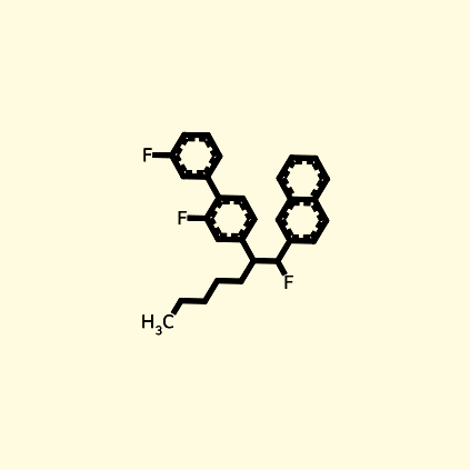 CCCCCC(c1ccc(-c2cccc(F)c2)c(F)c1)C(F)c1ccc2ccccc2c1